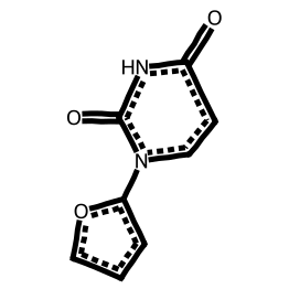 O=c1ccn(-c2ccco2)c(=O)[nH]1